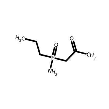 CCCP(N)(=O)CC(C)=O